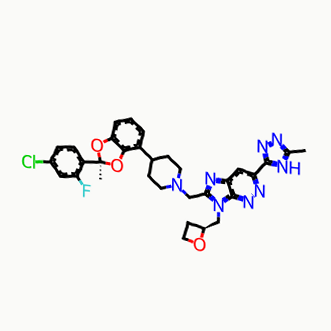 Cc1nnc(-c2cc3nc(CN4CCC(c5cccc6c5O[C@@](C)(c5ccc(Cl)cc5F)O6)CC4)n(C[C@@H]4CCO4)c3nn2)[nH]1